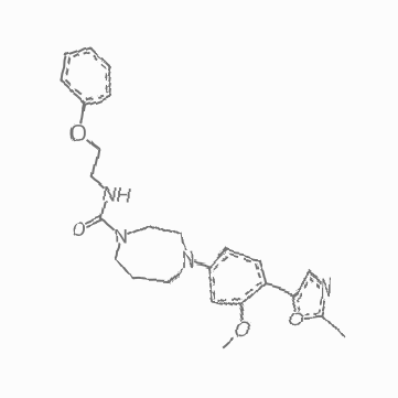 COc1cc(N2CCCN(C(=O)NCCOc3ccccc3)CC2)ccc1-c1cnc(C)o1